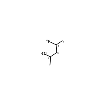 CC([O])CC(C)F